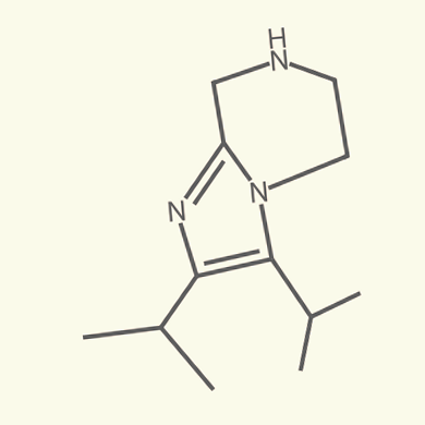 CC(C)c1nc2n(c1C(C)C)CCNC2